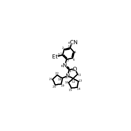 CCc1cc(C#N)ccc1N=C1OCC2(CCCC2)N1C1CCCC1